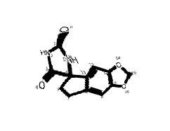 O=C1NC(=O)C2(CCc3cc4c(cc32)OCO4)N1